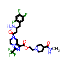 CNC(=O)C1CCN(CCOC(=O)c2nc(C(F)(F)F)n3c2CN(C(=O)C[C@H](N)Cc2cc(F)c(F)cc2F)CC3)CC1